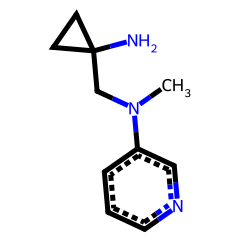 CN(CC1(N)CC1)c1cccnc1